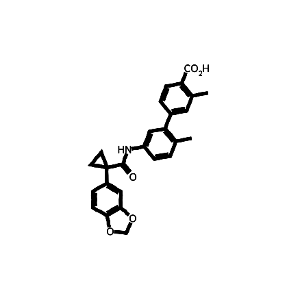 Cc1cc(-c2cc(NC(=O)C3(c4ccc5c(c4)OCO5)CC3)ccc2C)ccc1C(=O)O